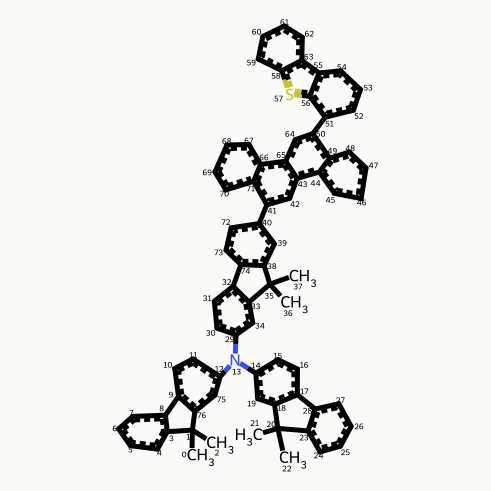 CC1(C)c2ccccc2-c2ccc(N(c3ccc4c(c3)C(C)(C)c3ccccc3-4)c3ccc4c(c3)C(C)(C)c3cc(-c5cc6c7ccccc7c(-c7cccc8c7sc7ccccc78)cc6c6ccccc56)ccc3-4)cc21